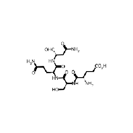 NC(=O)CC[C@H](NC(=O)[C@H](CO)NC(=O)[C@@H](N)CCC(=O)O)C(=O)N[C@H]([C]=O)CC(N)=O